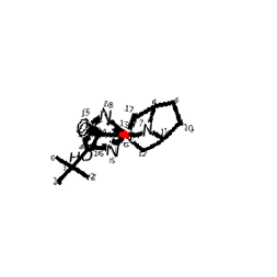 CC(C)(C)c1nc(N2C3CCC2CN(C(=O)O)C3)no1